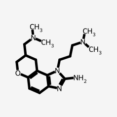 CN(C)CCCn1c(N)nc2ccc3c(c21)CC(CN(C)C)CO3